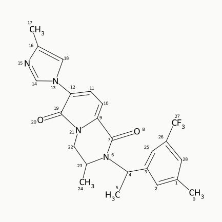 Cc1cc(C(C)N2C(=O)c3ccc(-n4cnc(C)c4)c(=O)n3CC2C)cc(C(F)(F)F)c1